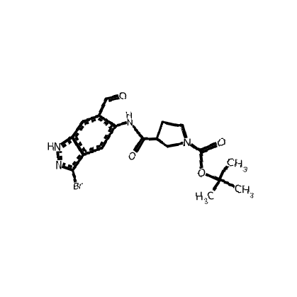 CC(C)(C)OC(=O)N1CCC(C(=O)Nc2cc3c(Br)n[nH]c3cc2C=O)C1